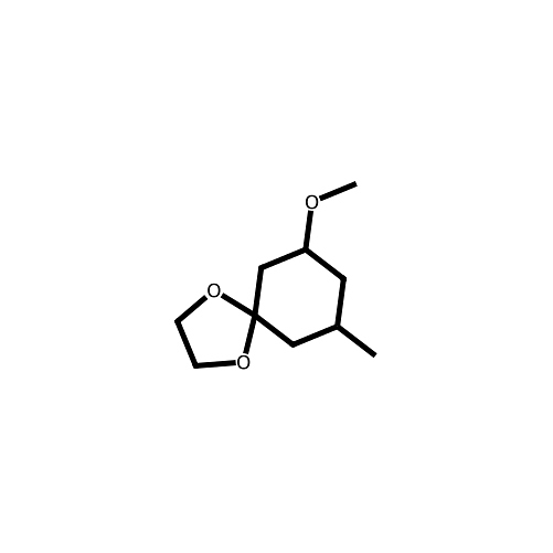 COC1CC(C)CC2(C1)OCCO2